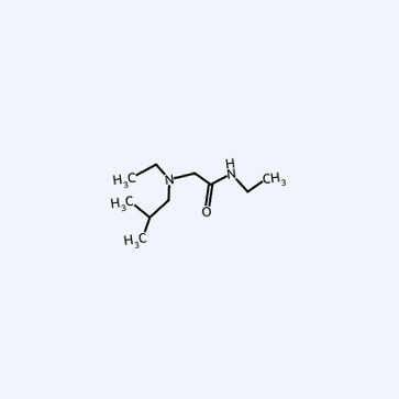 CCNC(=O)CN(CC)CC(C)C